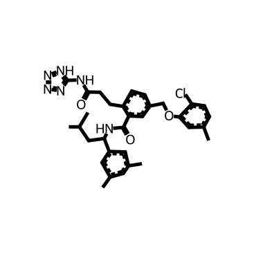 Cc1cc(C)cc(C(CC(C)C)NC(=O)c2cc(COc3cc(C)ccc3Cl)ccc2CCC(=O)Nc2nnn[nH]2)c1